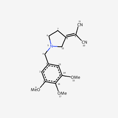 COc1cc(CN2CCC(=C(C#N)C#N)C2)cc(OC)c1OC